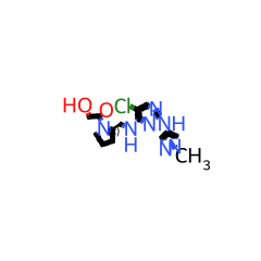 Cn1cc(Nc2ncc(Cl)c(NC[C@H]3CCCN3C(=O)CO)n2)cn1